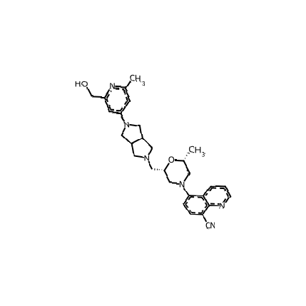 Cc1cc(N2CC3CN(C[C@H]4CN(c5ccc(C#N)c6ncccc56)C[C@@H](C)O4)CC3C2)cc(CO)n1